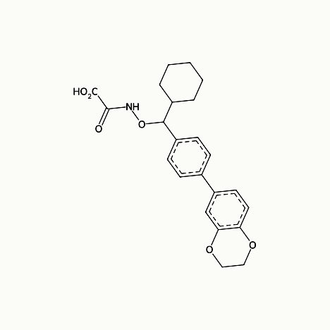 O=C(O)C(=O)NOC(c1ccc(-c2ccc3c(c2)OCCO3)cc1)C1CCCCC1